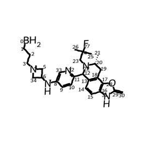 BCCCN1CC(Nc2ccc(C3c4ccc5c(c4C[C@@H](C)N3CC(C)(C)F)OC(=C)N5)nc2)C1